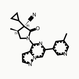 Cc1cncc(-c2cn3nccc3c(N3C[C@@H](C)[C@@](C#N)(C4CC4)C3=O)n2)c1